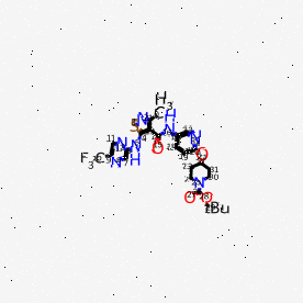 Cc1nsc(Nc2cnc(C(F)(F)F)cn2)c1C(=O)Nc1ccc(OC2CCN(C(=O)OC(C)(C)C)CC2)nc1